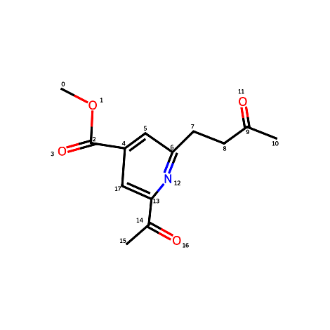 COC(=O)c1cc(CCC(C)=O)nc(C(C)=O)c1